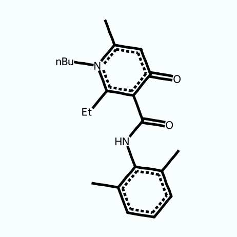 CCCCn1c(C)cc(=O)c(C(=O)Nc2c(C)cccc2C)c1CC